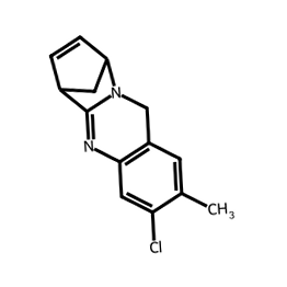 Cc1cc2c(cc1Cl)N=C1C3C=CC(C3)N1C2